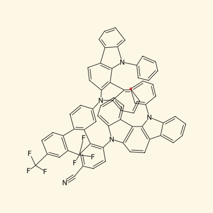 N#Cc1ccc(-n2c3ccccc3c3c2ccc2c4ccccc4n(-c4ccccc4)c23)c(-c2cc(-n3c4ccccc4c4c3ccc3c5ccccc5n(-c5ccccc5)c34)ccc2-c2ccc(C(F)(F)F)cc2C(F)(F)F)c1